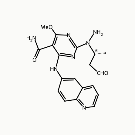 COc1nc(N(N)[C@H](C)CC=O)nc(Nc2ccc3ncccc3c2)c1C(N)=O